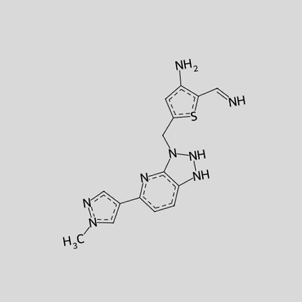 Cn1cc(-c2ccc3c(n2)N(Cc2cc(N)c(C=N)s2)NN3)cn1